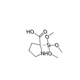 CO[Si](OC)(OC)[C@@]1(C(=O)O)CCCN1